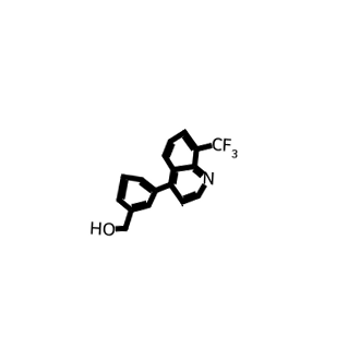 OCc1cccc(-c2[c]cnc3c(C(F)(F)F)cccc23)c1